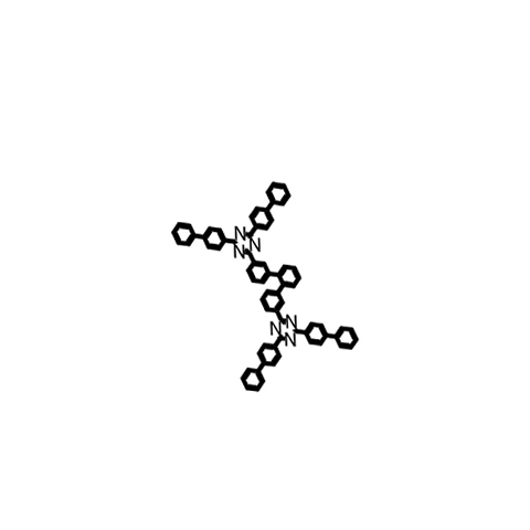 c1ccc(-c2ccc(-c3nc(-c4ccc(-c5ccccc5)cc4)nc(-c4cccc(-c5ccccc5-c5cccc(-c6nc(-c7ccc(-c8ccccc8)cc7)nc(-c7ccc(-c8ccccc8)cc7)n6)c5)c4)n3)cc2)cc1